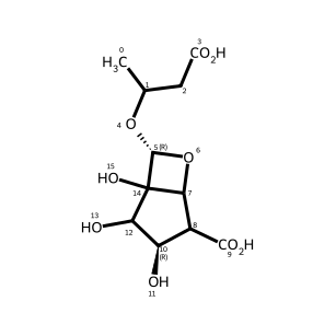 CC(CC(=O)O)O[C@@H]1OC2C(C(=O)O)[C@@H](O)C(O)C21O